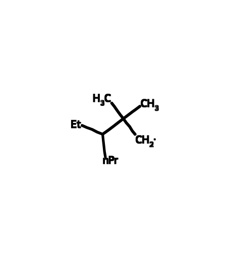 [CH2]C(C)(C)C(CC)CCC